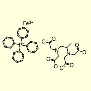 CC(CN(CC(=O)[O-])CC(=O)[O-])N(CC(=O)[O-])CC(=O)[O-].[Fe+3].c1ccc([P+](c2ccccc2)(c2ccccc2)c2ccccc2)cc1